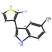 N#Cc1ccc2[nH]cc(-c3ccsc3I)c2c1